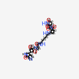 COc1cc(-c2cn(C)c(=O)c3cnccc23)cc(OC)c1CN1CC[C@H]1C(=O)NCCCCCCCCNc1cccc2c1C(=O)N([C@H]1CCC(=O)NC1=O)C2=O